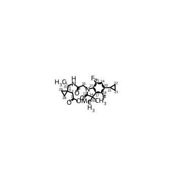 COC(=O)CC1([C@H](C)NC(=O)CN2C(=O)C(C)(C)c3c(F)c(C4CC4)cc(F)c32)CC1